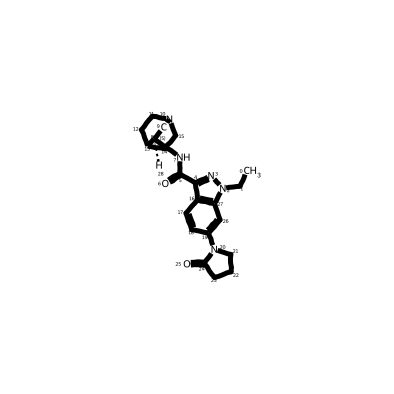 CCn1nc(C(=O)N[C@@H]2CN3CCC2CC3)c2ccc(N3CCCC3=O)cc21